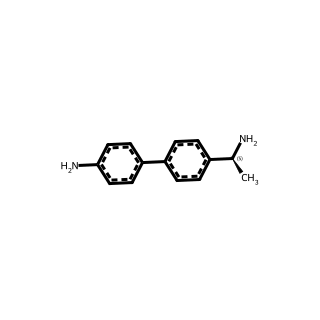 C[C@H](N)c1ccc(-c2ccc(N)cc2)cc1